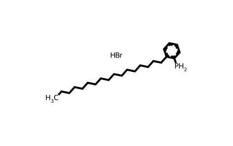 Br.CCCCCCCCCCCCCCCCCc1ccccc1P